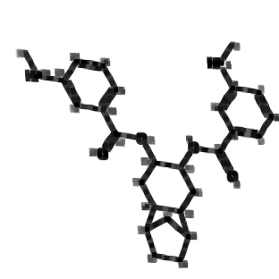 CPc1cccc(C(=O)OC2CC3C4CCC(C4)C3CC2OC(=O)c2cccc(PC)c2)c1